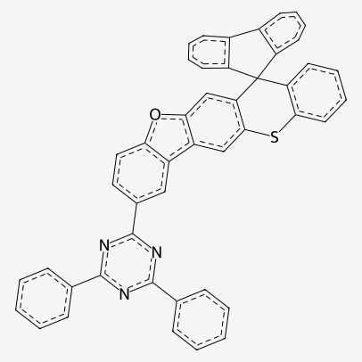 c1ccc(-c2nc(-c3ccccc3)nc(-c3ccc4oc5cc6c(cc5c4c3)Sc3ccccc3C63c4ccccc4-c4ccccc43)n2)cc1